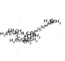 Cc1c(C)c2c(c(C)c1OC(=O)CCCCCCCCCCN(C)C)CC[C@@](C)(CCC[C@H](C)CCC[C@H](C)CCCC(C)C)O2